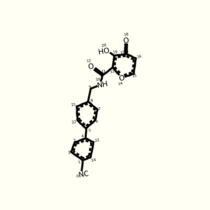 [C-]#[N+]c1ccc(-c2ccc(CNC(=O)c3occc(=O)c3O)cc2)cc1